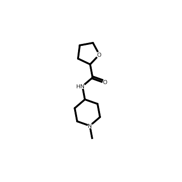 CN1CCC(NC(=O)C2CCCO2)CC1